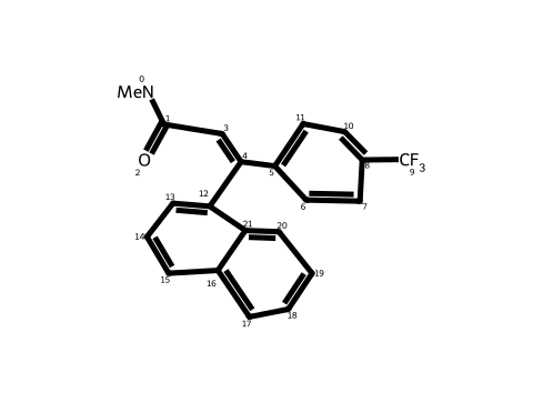 CNC(=O)/C=C(/c1ccc(C(F)(F)F)cc1)c1cccc2ccccc12